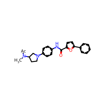 CC(=O)N(C)C1CCN(c2ccc(NC(=O)c3ccc(-c4ccccc4)o3)cc2)C1